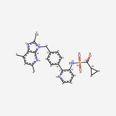 CCc1nc2c(C)cc(C)nc2n1Cc1ccc(-c2ncccc2NS(=O)(=O)C(=O)C2CC2)cc1